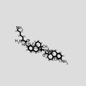 C[C@]1(C(=O)NC(=O)[C@@]2(C)CCC[C@]3(C)c4cc(NC(=O)C(N)CCCCN)ccc4CC[C@@H]23)CCC[C@]2(C)c3cc(N)ccc3CC[C@@H]12